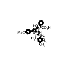 COc1ccc(-c2cc(C(=O)N[C@H](C(=O)O)C3(C)CCCCC3)c(NC(=O)Nc3c(C)cc(C)cc3C)s2)cc1